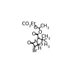 CCOC(=O)OC(C)OC(=O)[C@@H]1N2C(=O)[C@H](Br)[C@H]2SC1(C)C